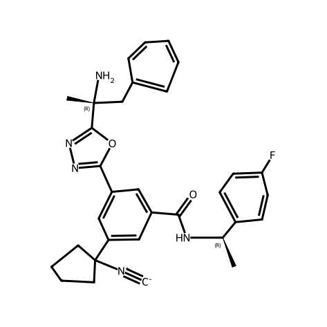 [C-]#[N+]C1(c2cc(C(=O)N[C@H](C)c3ccc(F)cc3)cc(-c3nnc([C@](C)(N)Cc4ccccc4)o3)c2)CCCC1